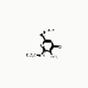 CCOC(=O)Nc1cc(Cl)c([N+](=O)[O-])c(NC(=O)OCC)n1